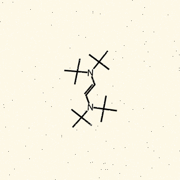 CC(C)(C)N(/C=C/N(C(C)(C)C)C(C)(C)C)C(C)(C)C